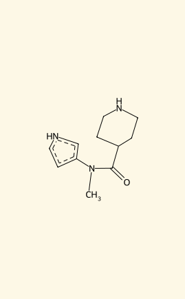 CN(C(=O)C1CCNCC1)c1cc[nH]c1